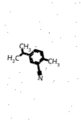 C[C](C)c1ccc(C)c(C#N)c1